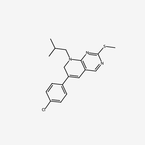 CSc1ncc2c(n1)N(CC(C)C)CC(c1ccc(Cl)cc1)=C2